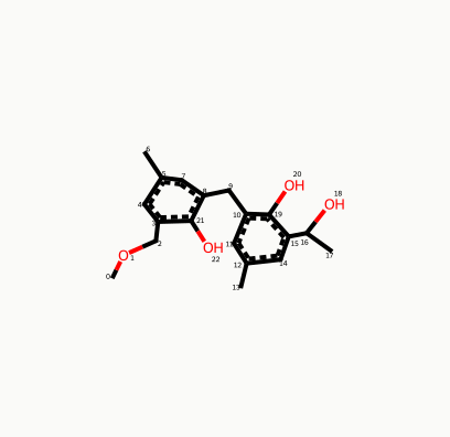 COCc1cc(C)cc(Cc2cc(C)cc(C(C)O)c2O)c1O